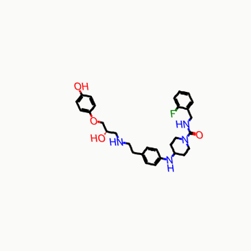 O=C(NCc1ccccc1F)N1CCC(Nc2ccc(CCNC[C@H](O)COc3ccc(O)cc3)cc2)CC1